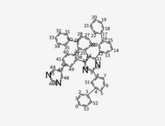 c1ccc(-c2cccc(-c3nc(-c4cccc(-c5ccccc5)c4)c(-c4cccc(-c5ccccc5)c4)c(-c4cccc(-c5cncnc5)c4)n3)c2)cc1